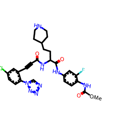 COC(=O)Nc1ccc(NC(=O)C(CCC2CCNCC2)NC(=O)C#Cc2cc(Cl)ccc2-n2cnnn2)cc1F